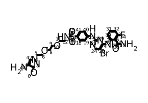 COc1nn(CCOCCOCCNS(=O)(=O)c2ccc(Nc3ncc(Br)c(Nc4cccc(F)c4C(N)=O)n3)cc2)cc1N